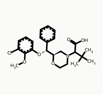 COc1c(Cl)cccc1O[C@H](c1ccccc1)[C@H]1CN(C(C(=O)O)C(C)(C)C)CCO1